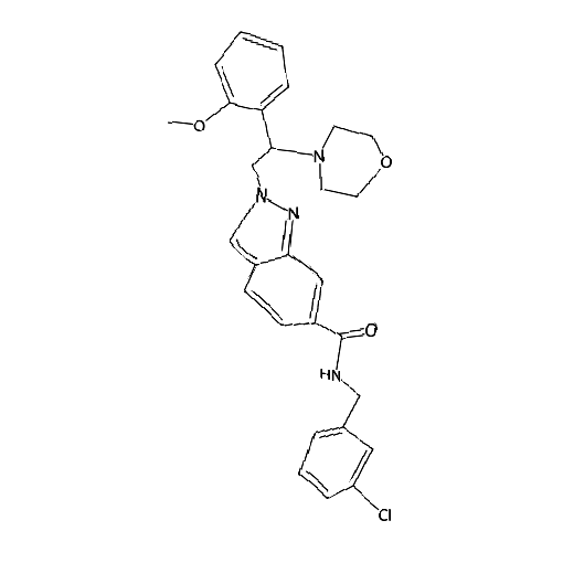 COc1ccccc1C(Cn1cc2ccc(C(=O)NCc3cccc(Cl)c3)cc2n1)N1CCOCC1